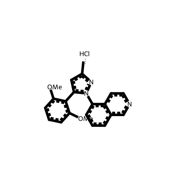 Cl.[C]c1cc(-c2c(OC)cccc2OC)n(-c2cccc3cnccc23)n1